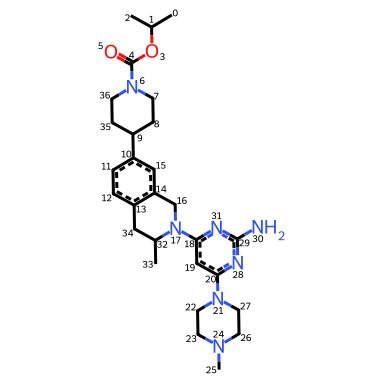 CC(C)OC(=O)N1CCC(c2ccc3c(c2)CN(c2cc(N4CCN(C)CC4)nc(N)n2)C(C)C3)CC1